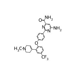 CN1CC=C(c2cc(C(F)(F)F)ccc2Oc2ccc(-c3nc(N)cc(C(N)=O)n3)cc2)CC1